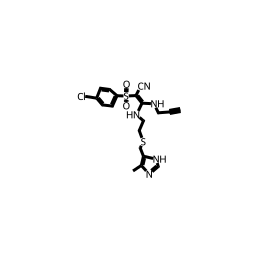 C#CCNC(NCCSCc1[nH]cnc1C)=C(C#N)S(=O)(=O)c1ccc(Cl)cc1